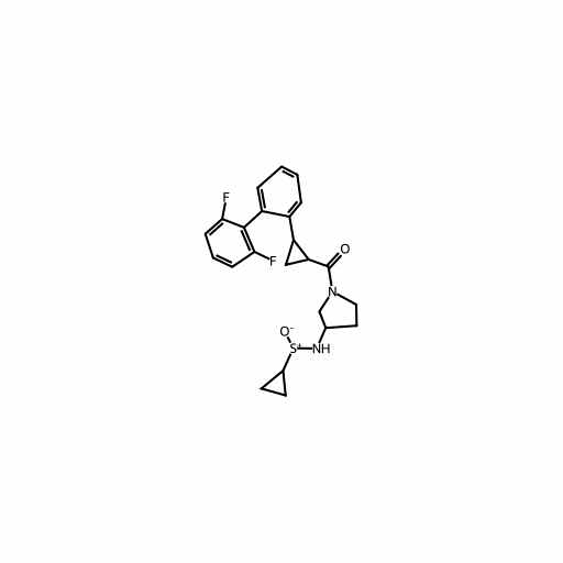 O=C(C1CC1c1ccccc1-c1c(F)cccc1F)N1CCC(N[S+]([O-])C2CC2)C1